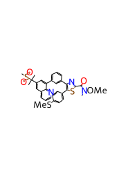 CON(C)C(=O)c1nc(-c2cccc(-c3cc(C(C)(C)S(C)(=O)=O)cc4cccnc34)c2)c(-c2ccc(SC)cc2)s1